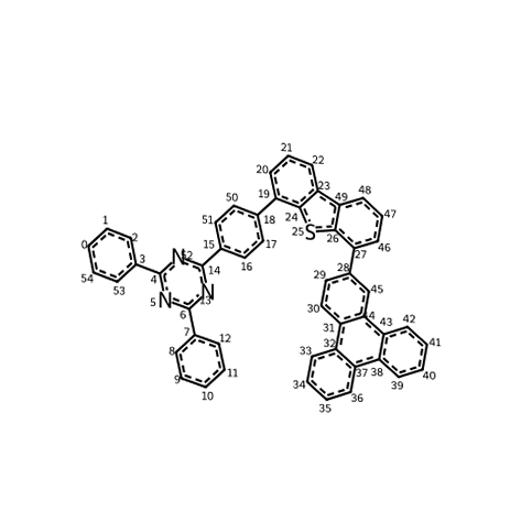 c1ccc(-c2nc(-c3ccccc3)nc(-c3ccc(-c4cccc5c4sc4c(-c6ccc7c8ccccc8c8ccccc8c7c6)cccc45)cc3)n2)cc1